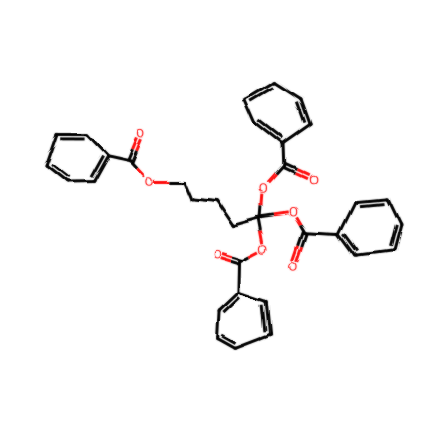 O=C(OCCCCC(OC(=O)c1ccccc1)(OC(=O)c1ccccc1)OC(=O)c1ccccc1)c1ccccc1